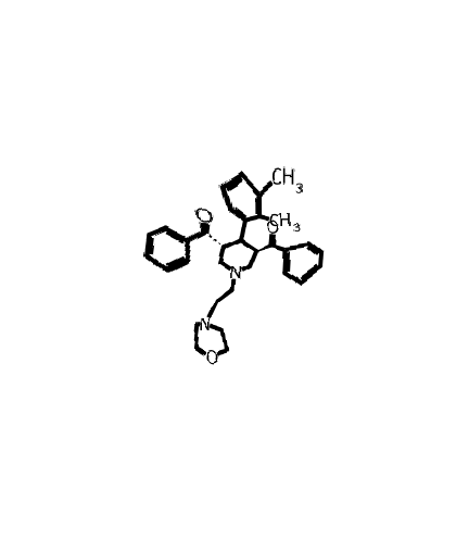 Cc1cccc(C2[C@@H](C(=O)c3ccccc3)CN(CCN3CCOCC3)C[C@@H]2C(=O)c2ccccc2)c1C